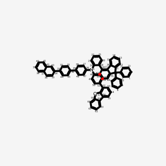 c1ccc(C2(c3ccccc3)c3ccccc3-c3c(-c4ccccc4N(c4ccc(-c5ccc(-c6ccc7ccccc7c6)cc5)cc4)c4ccc(-c5cccc6c5oc5ccccc56)cc4)cccc32)cc1